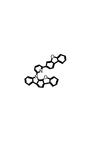 c1cc(-c2ccc3c(c2)oc2ccccc23)nc(-n2c3ccccc3c3ccc4c5ccccc5oc4c32)c1